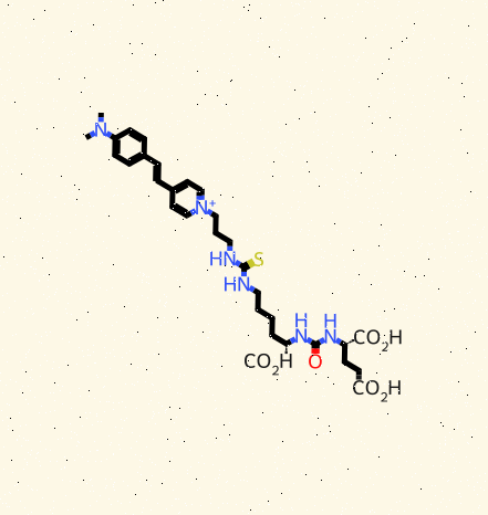 CN(C)c1ccc(/C=C/c2cc[n+](CCCNC(=S)NCCCC[C@H](NC(=O)N[C@@H](CCC(=O)O)C(=O)O)C(=O)O)cc2)cc1